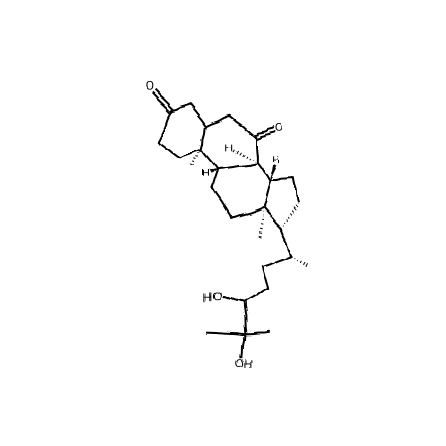 C[C@H](CCC(O)C(C)(C)O)[C@H]1CC[C@H]2[C@@H]3C(=O)CC4CC(=O)CC[C@]4(C)[C@H]3CC[C@]12C